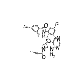 CC#CC(=O)N1CC(Oc2c(N)ncnc2-c2cc(F)cc(NC(=O)c3ccc(C4CC4)cc3F)c2C)C1